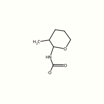 CC1CCCOC1NC([O])=O